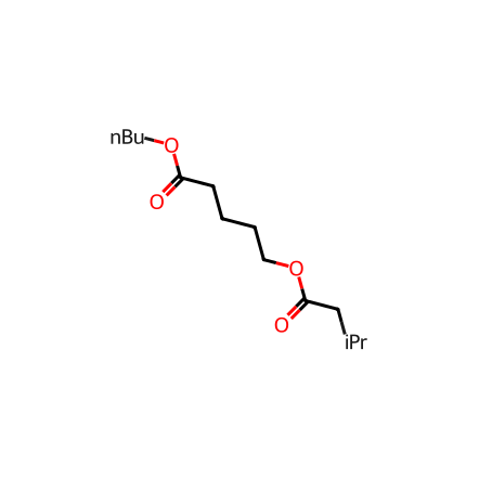 CCCCOC(=O)CCCCOC(=O)CC(C)C